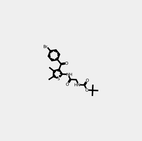 Cc1sc(NC(=O)CNC(=O)OC(C)(C)C)c(C(=O)c2ccc(Br)cc2)c1C